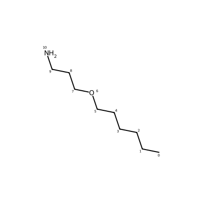 CCCCCCOCCCN